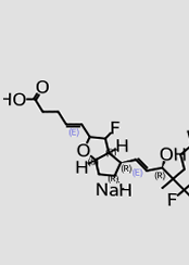 CCCCC(C)([C@H](O)/C=C/[C@@H]1[C@H]2C(F)C(/C=C/CCC(=O)O)O[C@H]2C[C@H]1C)C(F)(F)F.[NaH]